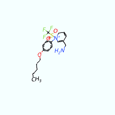 CCCCCOc1ccc([N+]2(S(=O)(=O)C(F)(F)F)C=C(CN)C=CC2)cc1